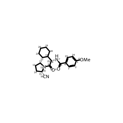 COc1ccc(C(=O)N[C@H](C(=O)N2CCC[C@H]2C#N)C2CCCCC2)cc1